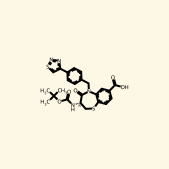 CC(C)(C)OC(=O)N[C@H]1CSc2ccc(C(=O)O)cc2N(Cc2ccc(-c3csnn3)cc2)C1=O